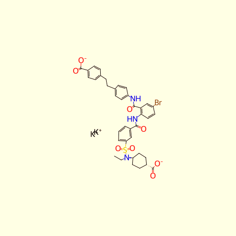 CCN([C@H]1CC[C@H](C(=O)[O-])CC1)S(=O)(=O)c1cccc(C(=O)Nc2ccc(Br)cc2C(=O)Nc2ccc(CCc3ccc(C(=O)[O-])cc3)cc2)c1.[K+].[K+]